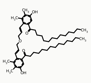 CCCCCCCCCCCCCC(=O)c1cc(O)c(C)c(C)c1C=CCOCC=Cc1c(C(=O)CCCCCCCCCCCCC)cc(O)c(C)c1C